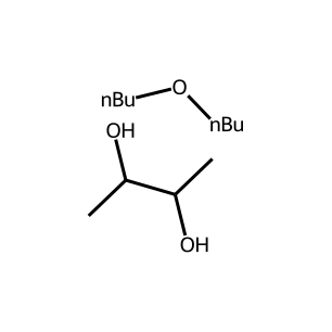 CC(O)C(C)O.CCCCOCCCC